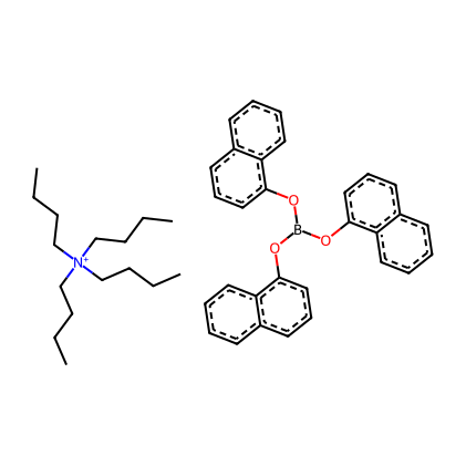 CCCC[N+](CCCC)(CCCC)CCCC.c1ccc2c(OB(Oc3cccc4ccccc34)Oc3cccc4ccccc34)cccc2c1